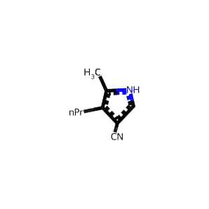 CCCc1c(C#N)c[nH]c1C